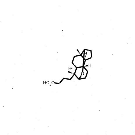 C[C@]1(CCCC(=O)O)C2CC[C@@H]3[C@@H]1CC[C@]1(C)C(CC[C@@H]31)O2